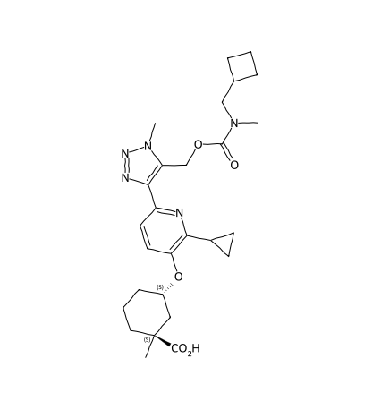 CN(CC1CCC1)C(=O)OCc1c(-c2ccc(O[C@H]3CCC[C@](C)(C(=O)O)C3)c(C3CC3)n2)nnn1C